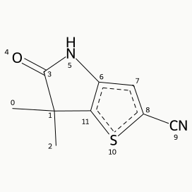 CC1(C)C(=O)Nc2cc(C#N)sc21